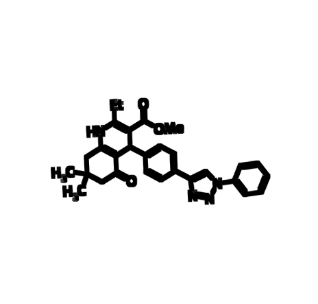 CCC1=C(C(=O)OC)C(c2ccc(-c3cn(-c4ccccc4)nn3)cc2)C2=C(CC(C)(C)CC2=O)N1